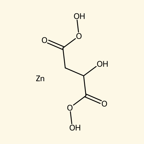 O=C(CC(O)C(=O)OO)OO.[Zn]